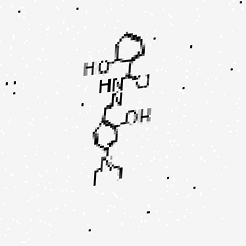 CCN(CC)c1ccc(C=NNC(=O)c2ccccc2O)c(O)c1